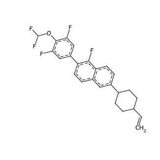 C=CC1CCC(c2ccc3c(F)c(-c4cc(F)c(OC(F)F)c(F)c4)ccc3c2)CC1